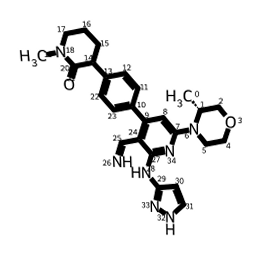 C[C@@H]1COCCN1c1cc(-c2ccc(C3CCCN(C)C3=O)cc2)c(C=N)c(Nc2cc[nH]n2)n1